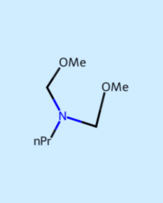 [CH2]CCN(COC)COC